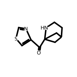 O=C(c1cscn1)C12CC(CCN1)C2